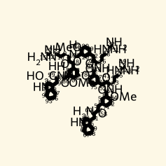 COc1ccc(CC(=O)[C@@H](CCCNC(=N)N)NC(=O)c2cc(CC(=O)[C@@H](CCCNC(=N)N)NC(=O)c3cc(CC(=O)[C@@H](CCCNC(=N)N)NC(=O)c4cc(CC(=O)[C@H](N)Cc5c[nH]c6ccccc56)ccc4OC)ccc3OC)ccc2OC)cc1C(=O)N[C@H](Cc1c[nH]c2ccccc12)C(=O)O